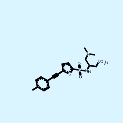 Cc1ccc(C#Cc2ccc(S(=O)(=O)NC(CC(=O)O)CN(C)C)s2)cc1